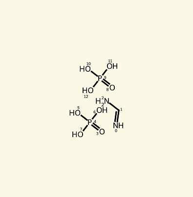 N=CN.O=P(O)(O)O.O=P(O)(O)O